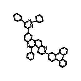 c1ccc(-c2cc(-c3ccc4nc(-c5ccccc5)c5c6ccc(-c7ccc8c9ccccc9c9ccccc9c8c7)nc6ccc5c4c3)nc(-c3ccccc3)n2)cc1